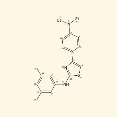 CCN(CC)c1ccc(-c2csc(Nc3cc(C)cc(C)c3)n2)cc1